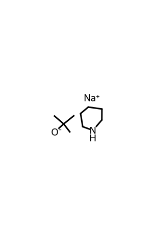 C1CCNCC1.CC(C)(C)[O-].[Na+]